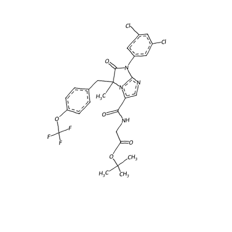 CC(C)(C)OC(=O)CNC(=O)c1cnc2n1C(C)(Cc1ccc(OC(F)(F)F)cc1)C(=O)N2c1cc(Cl)cc(Cl)c1